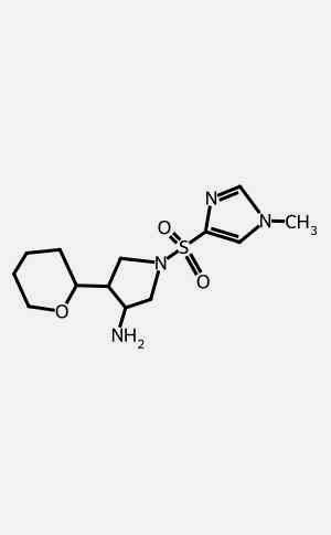 Cn1cnc(S(=O)(=O)N2CC(N)C(C3CCCCO3)C2)c1